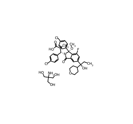 CC[C@@](O)(c1cc(F)c2c(c1)C(=O)N([C@H](c1ccc(Cl)cc1)[C@H](C)C(=O)O)[C@@]2(OC)c1ccc(Cl)cc1)C1CCOCC1.NC(CO)(CO)CO